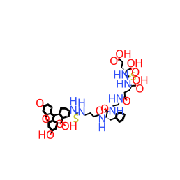 O=C(O)CC[C@@H](NC(=S)N[C@H](CCC(=O)NCCNC(=O)[C@H](Cc1ccccc1)NC(=O)CCCNC(=S)Nc1ccc(-c2c3ccc(=O)cc-3oc3cc(O)ccc23)c(C(=O)O)c1)C(=O)O)C(=O)O